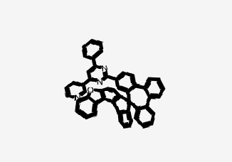 c1ccc(-c2cc(-c3cccnc3)nc(-c3ccc4c(c3)C3(c5ccccc5-c5ccccc5-4)c4ccccc4-c4c3ccc3oc5ccccc5c43)n2)cc1